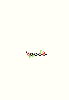 C=CCOc1ccc(-c2ccc(-c3ccc(C4CCC(C)CO4)c(F)c3)cc2)c(F)c1F